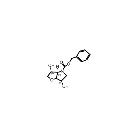 O=C(OCc1ccccc1)N1C[C@@H](O)C2OC[C@H](O)[C@H]21